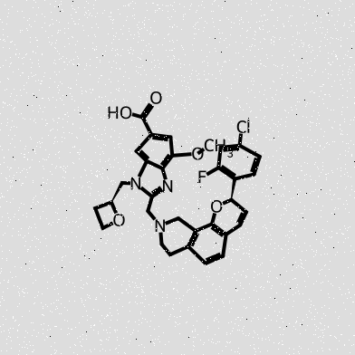 COc1cc(C(=O)O)cc2c1nc(CN1CCc3ccc4c(c3C1)O[C@@H](c1ccc(Cl)cc1F)C=C4)n2C[C@@H]1CCO1